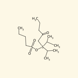 CCCCS(=O)(=O)OS(CC(=O)CCC)(C(C)C)C(C)C